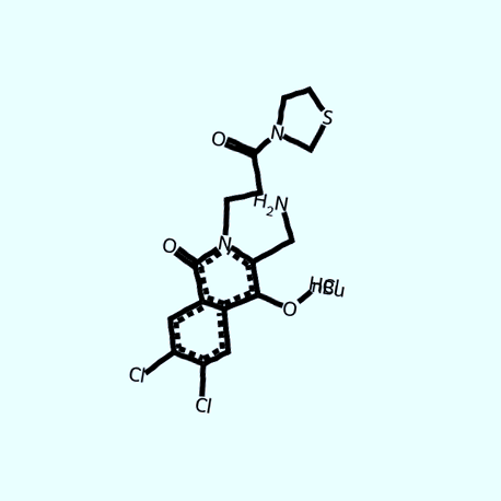 CCCCOc1c(CN)n(CCC(=O)N2CCSC2)c(=O)c2cc(Cl)c(Cl)cc12.Cl